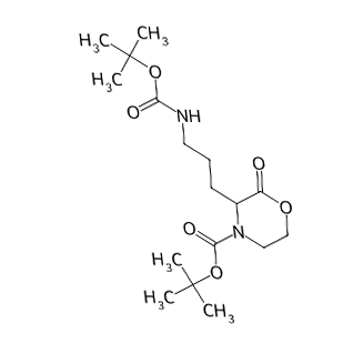 CC(C)(C)OC(=O)NCCCC1C(=O)OCCN1C(=O)OC(C)(C)C